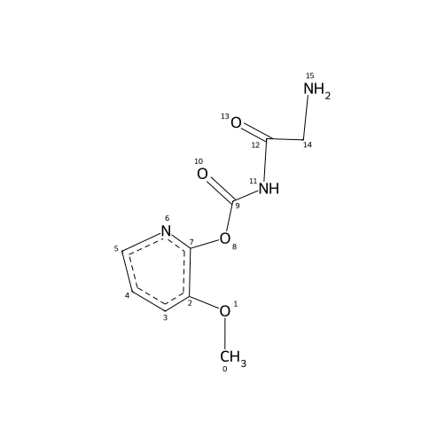 COc1cccnc1OC(=O)NC(=O)CN